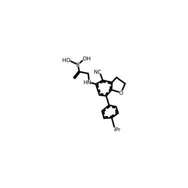 C=C(CNc1cc(-c2ccc(C(C)C)cc2)c2c(c1C#N)CCO2)B(O)O